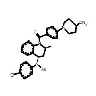 CC(=O)N(c1ccc(Cl)cc1)[C@@H]1C[C@H](C)N(C(=O)c2ccc(N3CCC(C(=O)O)CC3)cc2)c2ccccc21